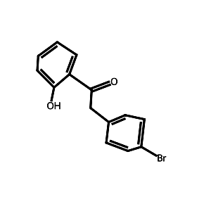 O=C(Cc1ccc(Br)cc1)c1ccccc1O